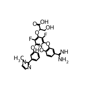 Cn1ccnc1-c1cccc(Oc2nc(Oc3cc(C(=N)N)ccc3O)c(F)c(OC(CO)C(=O)O)c2F)c1